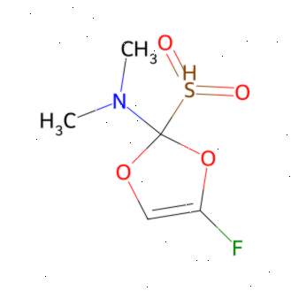 CN(C)C1([SH](=O)=O)OC=C(F)O1